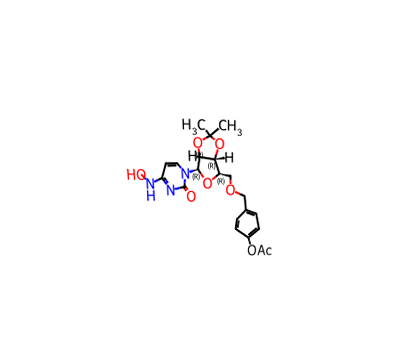 CC(=O)Oc1ccc(COC[C@H]2O[C@@H](n3ccc(NO)nc3=O)[C@@H]3OC(C)(C)O[C@@H]32)cc1